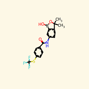 CC1(C)OB(O)c2cc(NC(=O)c3ccc(SC(F)(F)F)cc3)ccc21